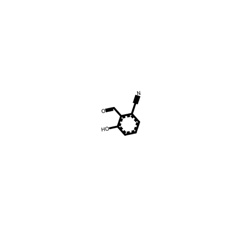 N#Cc1cccc(O)c1C=O